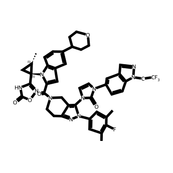 Cc1cc(-n2nc3c(c2-n2ccn(-c4ccc5c(cnn5CC(F)(F)F)c4)c2=O)CN(C(=O)c2cc4cc(C5CCOCC5)ccc4n2[C@@]2(c4noc(=O)[nH]4)C[C@@H]2C)CC3)cc(C)c1F